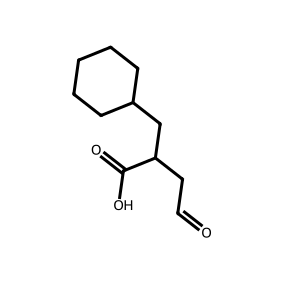 O=CCC(CC1CCCCC1)C(=O)O